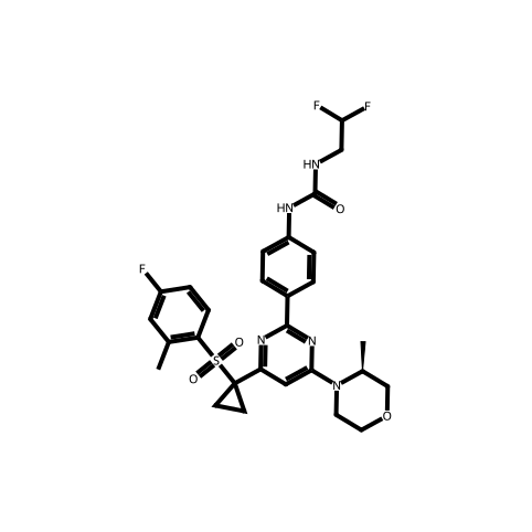 Cc1cc(F)ccc1S(=O)(=O)C1(c2cc(N3CCOC[C@@H]3C)nc(-c3ccc(NC(=O)NCC(F)F)cc3)n2)CC1